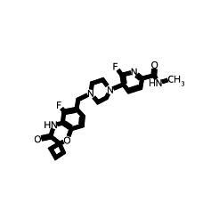 CNC(=O)c1ccc(N2CCN(Cc3ccc4c(c3F)NC(=O)C3(CCC3)O4)CC2)c(F)n1